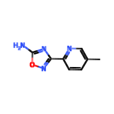 Cc1ccc(-c2noc(N)n2)nc1